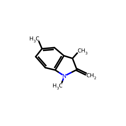 C=C1C(C)c2cc(C)ccc2N1C